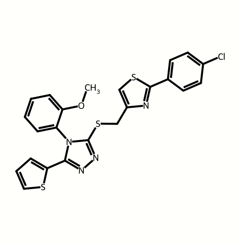 COc1ccccc1-n1c(SCc2csc(-c3ccc(Cl)cc3)n2)nnc1-c1cccs1